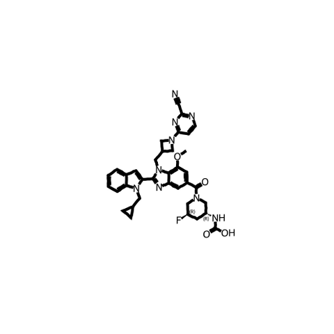 COc1cc(C(=O)N2C[C@H](F)C[C@@H](NC(=O)O)C2)cc2nc(-c3cc4ccccc4n3CC3CC3)n(CC3CN(c4ccnc(C#N)n4)C3)c12